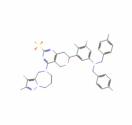 CCOC(=O)c1nn2c(c1Br)CN(c1nc(S(C)(=O)=O)nc3c1COC(c1cc(N(Cc4ccc(OC)cc4)Cc4ccc(OC)cc4)cc(Cl)c1C(F)(F)F)C3)CCC2